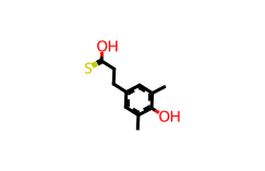 Cc1cc(CCC(O)=S)cc(C)c1O